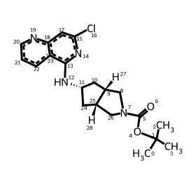 CC(C)(C)OC(=O)N1C[C@H]2C[C@@H](Nc3nc(Cl)cc4ncccc34)C[C@H]2C1